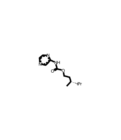 CC(C)[C@H](C)CCOC(=O)Nc1cnccn1